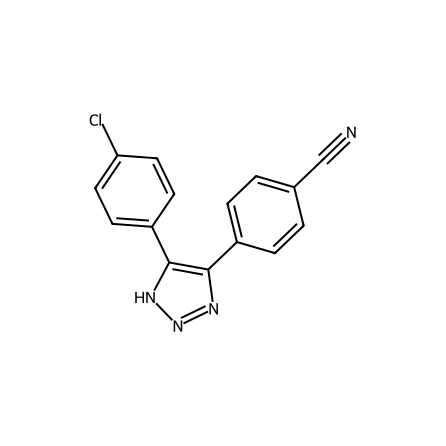 N#Cc1ccc(-c2nn[nH]c2-c2ccc(Cl)cc2)cc1